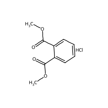 COC(=O)c1ccccc1C(=O)OC.Cl